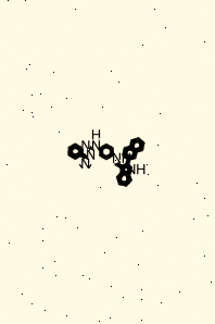 CN(C)c1nc(N[C@H]2CC[C@@H](NCc3c(-c4ccc5ccccc5c4)[nH]c4ccccc34)CC2)nc2ccccc12